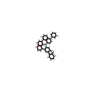 c1ccc(-c2ccc(N(c3ccccc3-c3ccccc3)c3cc4oc5ccccc5c4cc3-c3ccccc3)cc2)cc1